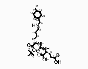 CC(C)(C)OC(=O)[C@H](CCCCNCc1ccc(I)cc1)NC(=O)N[C@@H](CCC(=O)O)C(=O)O